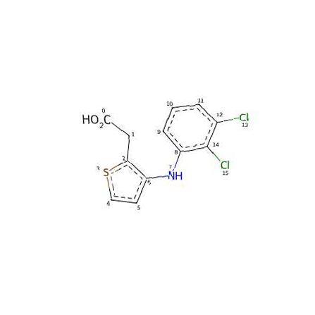 O=C(O)Cc1sccc1Nc1cccc(Cl)c1Cl